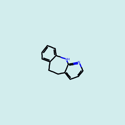 c1ccc2c(c1)CCc1cccnc1N2